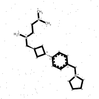 CN(C)CCN(C)C[C@H]1C[C@H](c2ccc(CN3CCCC3)cc2)C1